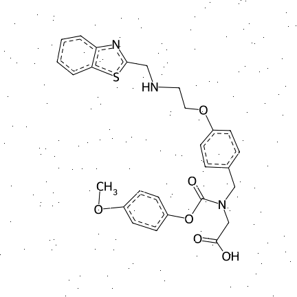 COc1ccc(OC(=O)N(CC(=O)O)Cc2ccc(OCCNCc3nc4ccccc4s3)cc2)cc1